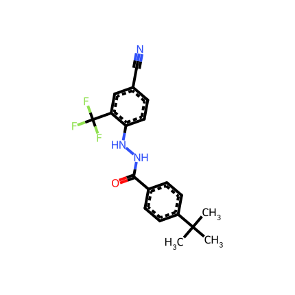 CC(C)(C)c1ccc(C(=O)NNc2ccc(C#N)cc2C(F)(F)F)cc1